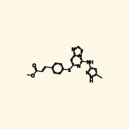 COC(=O)/C=C/c1ccc(Sc2cc3nccn3c(Nc3cc(C)[nH]n3)n2)cc1